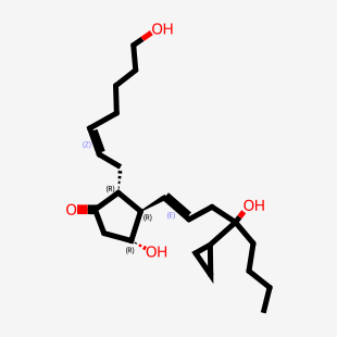 CCCCC(O)(C/C=C/[C@H]1[C@H](O)CC(=O)[C@@H]1C/C=C\CCCCO)C1CC1